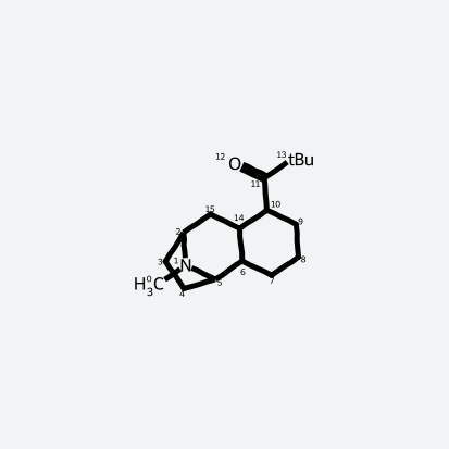 CN1C2CCC1C1CCCC(C(=O)C(C)(C)C)C1C2